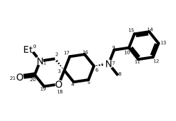 CCN1C[C@]2(CC[C@@H](N(C)Cc3ccccc3)CC2)OCC1=O